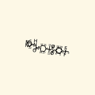 CC(F)(F)c1ccc(S(=O)(=O)C(C)(C)C2CCN(C(=O)Nc3cnns3)CC2)cc1